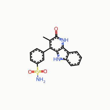 Cc1c(-c2cccc(S(N)(=O)=O)c2)c2[nH]c3ccccc3c2[nH]c1=O